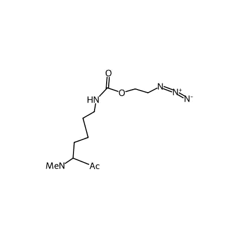 CNC(CCCCNC(=O)OCCN=[N+]=[N-])C(C)=O